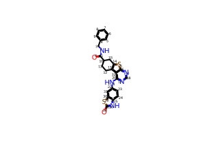 O=C(NCc1ccccc1)C1CCc2c(sc3ncnc(Nc4ccc5[nH]c(=O)sc5c4)c23)C1